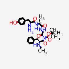 CCN[C@@H](Cc1ccccc1)C(=O)N(C(=O)CNC(=O)[C@@H](C)NC(=O)[C@@H](N)Cc1ccc(O)cc1)C(=O)OC(C)(C)C